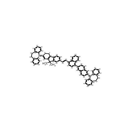 CC1(C)C2=C(CCC(N3c4ccccc4CCc4ccccc43)=C2)c2ccc(/C=C/c3ccc(-c4ccc5cc(N6c7ccccc7CCc7ccccc76)ccc5c4)c4ccccc34)cc21